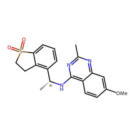 COc1ccc2c(N[C@H](C)c3cccc4c3CCS4(=O)=O)nc(C)nc2c1